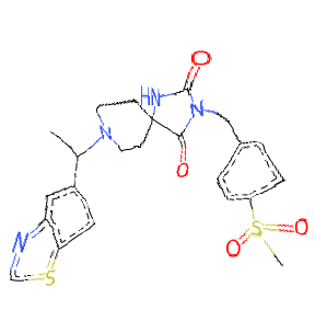 CC(c1ccc2scnc2c1)N1CCC2(CC1)NC(=O)N(Cc1ccc(S(C)(=O)=O)cc1)C2=O